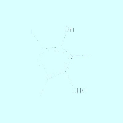 Cc1cc(I)c(O)c(C)c1C=O